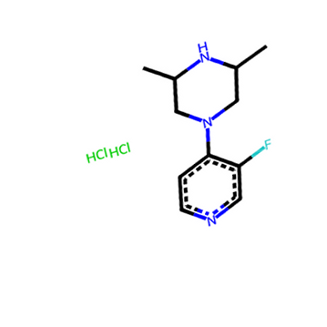 CC1CN(c2ccncc2F)CC(C)N1.Cl.Cl